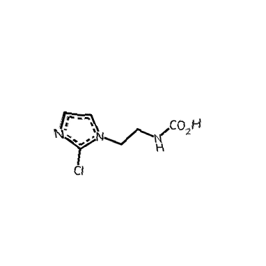 O=C(O)NCCn1ccnc1Cl